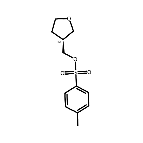 Cc1ccc(S(=O)(=O)OC[C@H]2CCOC2)cc1